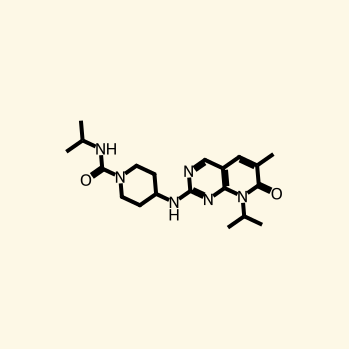 Cc1cc2cnc(NC3CCN(C(=O)NC(C)C)CC3)nc2n(C(C)C)c1=O